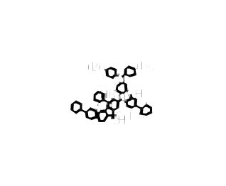 Cc1cc(-c2ccccc2)ccc1N1c2ccc(N(c3ccc(C(C)(C)C)cc3)c3ccc(C(C)(C)C)cc3)cc2Bc2c1cc1c(c2-c2ccccc2Nc2cccc(-c3ccccc3)c2)-c2ccccc2C1(C)C